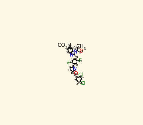 CC1(C)COCC1n1c(Cc2cc(F)c(-c3cccc(OCc4ccc(Cl)cc4Cl)n3)cc2F)nc2ccc(C(=O)O)cc21